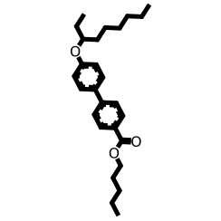 CCCCCCC(CC)Oc1ccc(-c2ccc(C(=O)OCCCCC)cc2)cc1